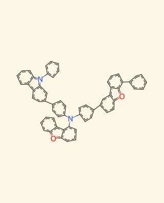 c1ccc(-c2cccc3c2oc2ccc(-c4ccc(N(c5ccc(-c6ccc7c8ccccc8n(-c8ccccc8)c7c6)cc5)c5cccc6oc7ccccc7c56)cc4)cc23)cc1